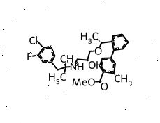 COC(=O)c1ccc(-c2ccccc2[C@@H](C)OC[C@H](O)CNC(C)(C)Cc2ccc(Cl)c(F)c2)cc1C